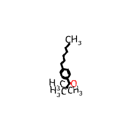 CCCCCCCc1ccc(C(=O)C(C)(C)C)cc1